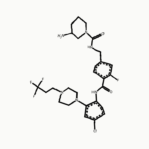 NC1CCCN(C(=O)NCc2ccc(C(=O)Nc3ccc(Cl)cc3N3CCN(CCC(F)(F)F)CC3)c(F)c2)C1